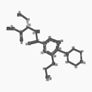 COC(=O)[C@H](CC(C)C)NC(=O)c1cnc(N2CCOCC2)c(OCC(F)(F)F)n1